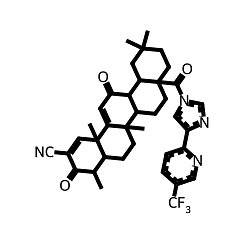 CC1C(=O)C(C#N)=CC2(C)C3=CC(=O)C4C(CCC5(C(=O)n6cnc(-c7ccc(C(F)(F)F)cn7)c6)CCC(C)(C)CC45)C3(C)CCC12